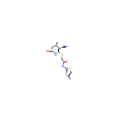 Cc1csc(NC(=O)CSC2=C(C#N)C(C)CC(=O)N2)n1